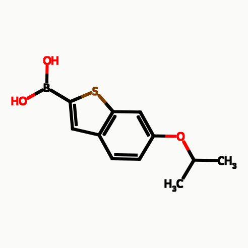 CC(C)Oc1ccc2cc(B(O)O)sc2c1